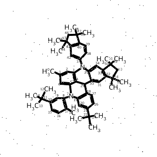 Cc1cc2c3c(c1)N(c1cc(C(C)(C)C)ccc1C)c1cc(C(C)(C)C)ccc1C3c1cc3c(cc1N2c1ccc2c(c1)C(C)(C)CC2(C)C)C(C)(C)CC3(C)C